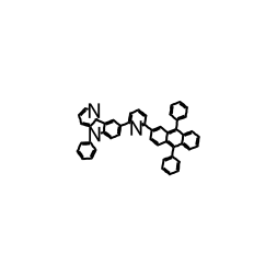 c1ccc(-c2c3ccccc3c(-c3ccccc3)c3cc(-c4cccc(-c5ccc6c(c5)c5ncccc5n6-c5ccccc5)n4)ccc23)cc1